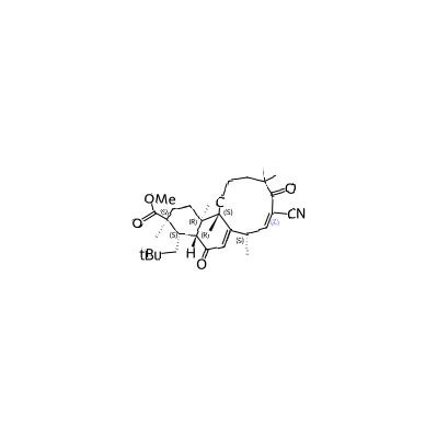 COC(=O)[C@@]1(C)CC[C@]2(C)[C@H](C(=O)C=C3[C@@H](C)/C=C(/C#N)C(=O)C(C)(C)CCC[C@]32C)[C@@H]1CC(C)(C)C